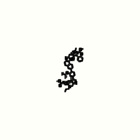 CCCN(Cc1ncc(-c2ccc(-c3ccc4c(ccc5nc(CN(CCC)C(=O)[C@H](NC(=O)OC)c6ccccc6)[nH]c54)c3)c(OC(F)F)c2)[nH]1)C(=O)CNC(=O)OC